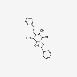 OC1C(O)P(CCc2ccccc2)C(O)C(O)P1CCc1ccccc1